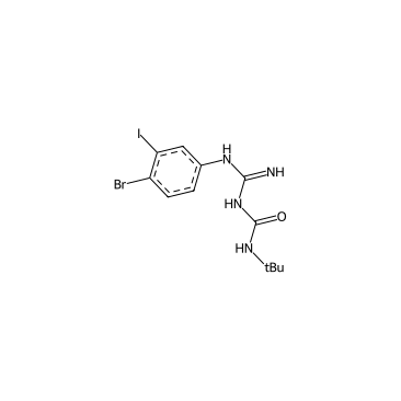 CC(C)(C)NC(=O)NC(=N)Nc1ccc(Br)c(I)c1